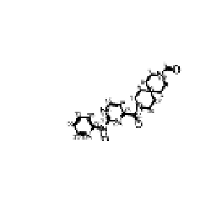 O=CN1CCC2(CC1)CCN(C(=O)c1ccnc(Nc3ccccn3)n1)CC2